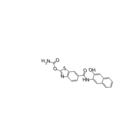 NC(=O)Oc1nc2ccc(C(=O)Nc3cc4ccccc4cc3O)cc2s1